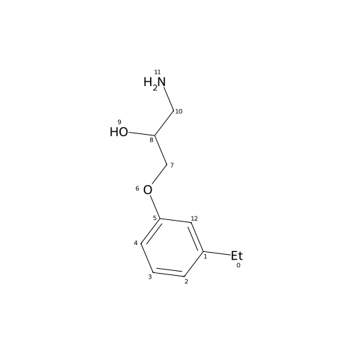 CCc1cccc(OCC(O)CN)c1